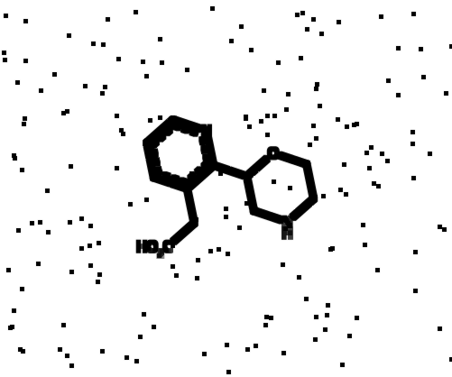 O=C(O)Cc1cccnc1C1CNCCO1